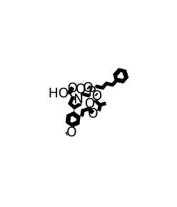 CCC(=O)O[C@H](OP(=O)(CCCCc1ccccc1)CC(=O)N1C[C@H](c2ccc(OC)cc2)C[C@H]1C(=O)O)C(C)C